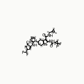 Cn1nc(C(F)F)cc1Nc1nncn1[C@H]1CCc2sc(NC(=O)[C@H]3CC3(F)F)c(C(=O)NCC3CC3)c2C1